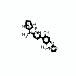 CN(c1ccc(-c2ccc(Oc3nccn3C)cc2O)nn1)[C@@H]1C[C@H]2CC[C@H](N2)[C@@H]1F